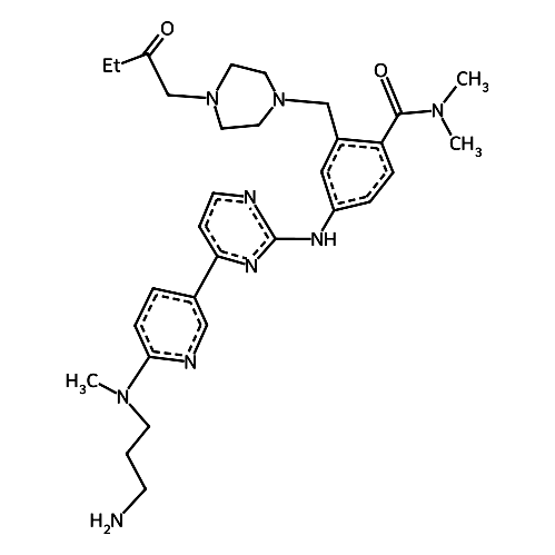 CCC(=O)CN1CCN(Cc2cc(Nc3nccc(-c4ccc(N(C)CCCN)nc4)n3)ccc2C(=O)N(C)C)CC1